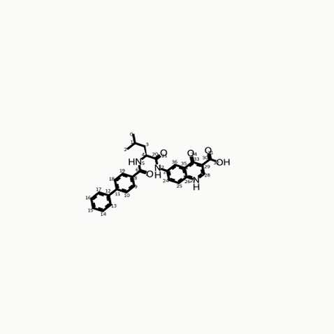 CC(C)C[C@H](NC(=O)c1ccc(-c2ccccc2)cc1)C(=O)Nc1ccc2[nH]cc(C(=O)O)c(=O)c2c1